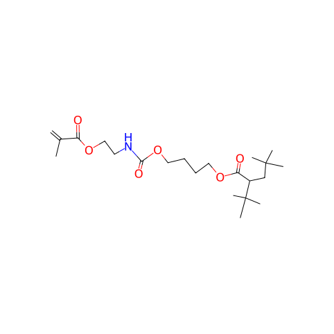 C=C(C)C(=O)OCCNC(=O)OCCCCOC(=O)C(CC(C)(C)C)C(C)(C)C